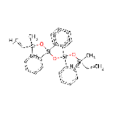 C=C[Si](C)(C)O[Si](O[Si](O[Si](C)(C)C=C)(c1ccccc1)c1ccccc1)(c1ccccc1)c1ccccc1